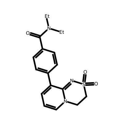 CCN(CC)C(=O)c1ccc(C2=CC=CN3CCS(=O)(=O)N=C23)cc1